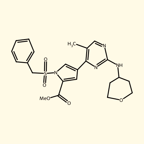 COC(=O)c1cc(-c2nc(NC3CCOCC3)ncc2C)cn1S(=O)(=O)Cc1ccccc1